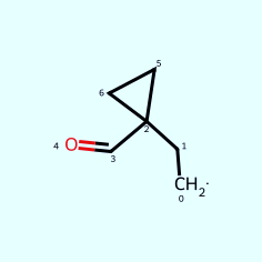 [CH2]CC1(C=O)CC1